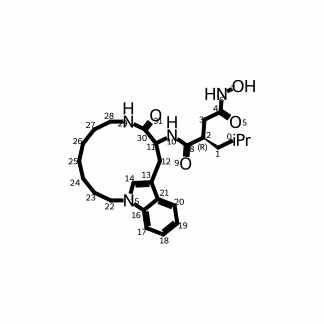 CC(C)C[C@H](CC(=O)NO)C(=O)NC1Cc2cn(c3ccccc23)CCCCCCCNC1=O